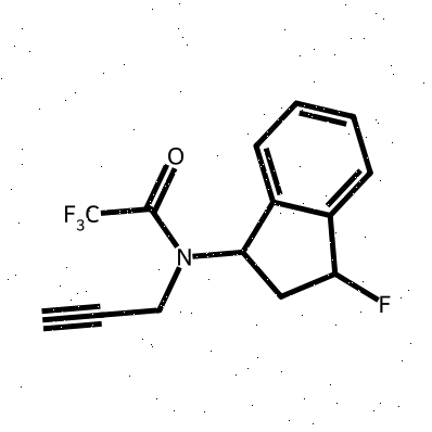 C#CCN(C(=O)C(F)(F)F)C1CC(F)c2ccccc21